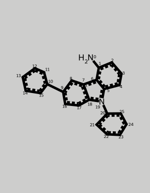 Nc1cccc2c1c1cc(-c3ccccc3)ccc1n2-c1ccccc1